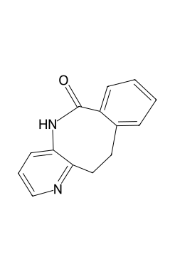 O=C1Nc2cccnc2CCc2ccccc21